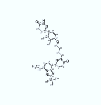 COc1ccc(-c2ccc(=O)n(CCCCOc3ccc(C4=NNC(=O)CC4)c(F)c3F)n2)c2nc(C(F)(F)F)nn12